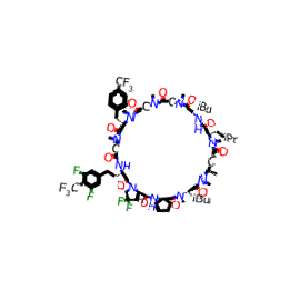 CC[C@H](C)[C@@H]1NC(=O)[C@H](CC(C)C)N(C)C(=O)C[C@@H](C)N(C)C(=O)[C@H]([C@@H](C)CC)N(C)C(=O)C2(CCCC2)NC(=O)[C@@H]2CC(F)(F)CN2C(=O)[C@H](CCc2cc(F)c(C(F)(F)F)c(F)c2)NC(=O)CN(C)C(=O)[C@H](Cc2ccc(C(F)(F)F)cc2)N(C)C(=O)CN(C)C(=O)CN(C)C1=O